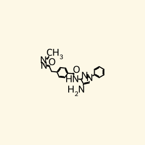 Cc1nnc(Cc2ccc(C(=O)Nc3nn(-c4ccccc4)cc3N)cc2)o1